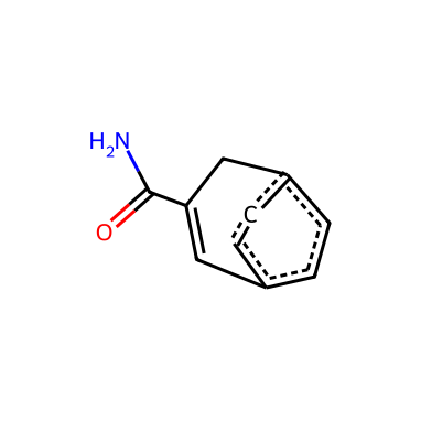 NC(=O)C1=Cc2ccc(cc2)C1